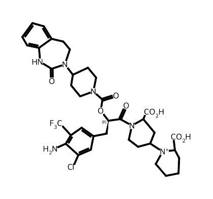 Nc1c(Cl)cc(C[C@@H](OC(=O)N2CCC(N3CCc4ccccc4NC3=O)CC2)C(=O)N2CCC([N+]3CCCCC3C(=O)O)CC2C(=O)O)cc1C(F)(F)F